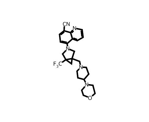 N#Cc1ccc(N2CC3(CN4CCC(N5CCOCC5)CC4)CC3(C(F)(F)F)C2)c2cccnc12